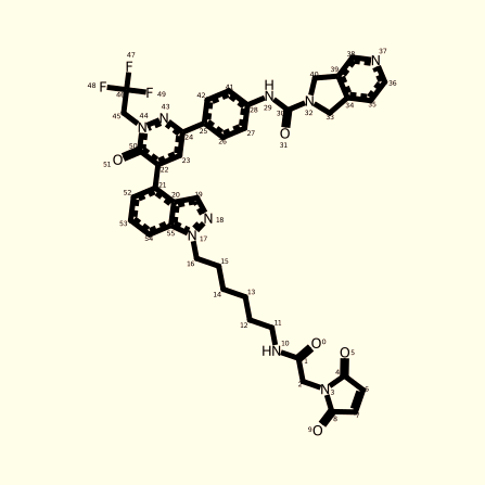 O=C(CN1C(=O)C=CC1=O)NCCCCCCn1ncc2c(-c3cc(-c4ccc(NC(=O)N5Cc6ccncc6C5)cc4)nn(CC(F)(F)F)c3=O)cccc21